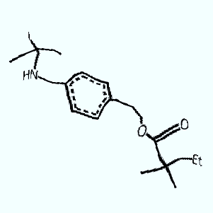 CCC(C)(C)C(=O)OCc1ccc(NC(C)(C)I)cc1